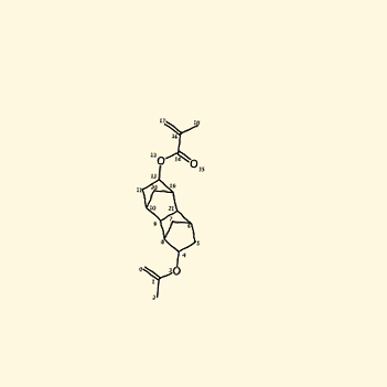 C=C(C)OC1CC2CC1C1C3CC(OC(=O)C(=C)C)C(C3)C21